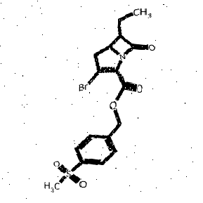 CCC1C(=O)N2C(C(=O)OCc3ccc(S(C)(=O)=O)cc3)=C(Br)CC12